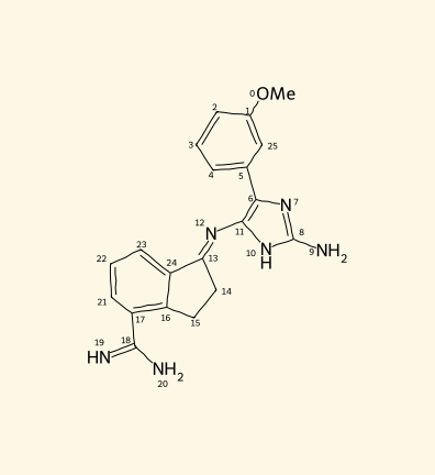 COc1cccc(-c2nc(N)[nH]c2N=C2CCc3c(C(=N)N)cccc32)c1